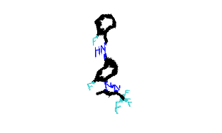 Cc1cc(C(F)(F)F)nn1-c1ccc(NCc2ccccc2F)cc1F